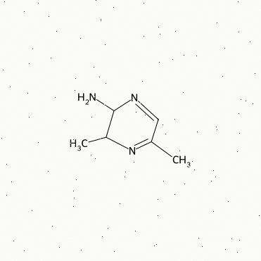 CC1=NC(C)C(N)N=C1